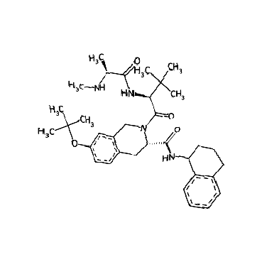 CN[C@@H](C)C(=O)N[C@H](C(=O)N1Cc2cc(OC(C)(C)C)ccc2C[C@H]1C(=O)NC1CCCc2ccccc21)C(C)(C)C